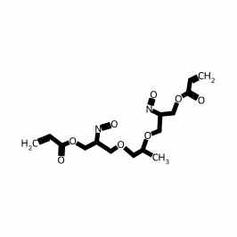 C=CC(=O)OCC(COCC(C)OCC(COC(=O)C=C)N=O)N=O